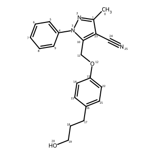 Cc1nn(-c2ccccc2)c(COc2ccc(CCCO)cc2)c1C#N